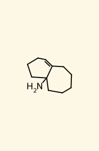 NC12CCCC=C1CCCCC2